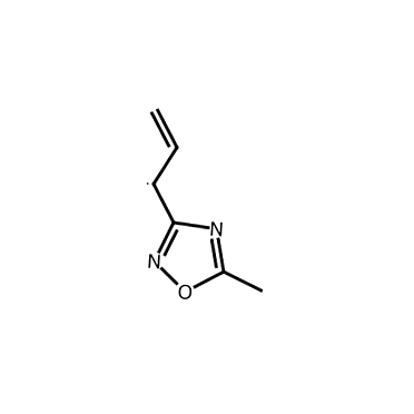 C=C[CH]c1noc(C)n1